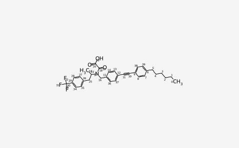 CCCCCCc1ccc(C#Cc2ccc(CN(C(=O)C(=O)O)C(C)Cc3ccc(C(F)(F)F)cc3)cc2)cc1